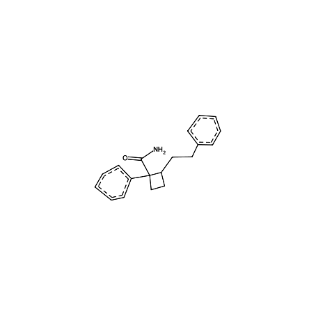 NC(=O)C1(c2ccccc2)CCC1CCc1ccccc1